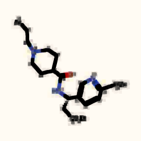 CCOC(=O)C[C@H](NC(=O)C1CCN(CCC(C)=O)CC1)c1ccc(OC)nc1